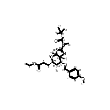 CCOC(=O)CC[C@H]1O[C@@H]2SC(N(C)C(=O)OC(C)(C)C)=N[C@@H]2[C@@H](OCc2ccc(OC)cc2)[C@@H]1C